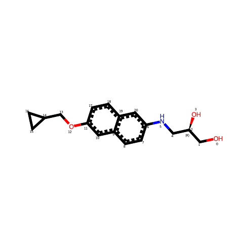 OC[C@H](O)CNc1ccc2cc(OCC3CC3)ccc2c1